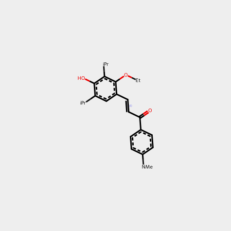 CCOc1c(/C=C/C(=O)c2ccc(NC)cc2)cc(C(C)C)c(O)c1C(C)C